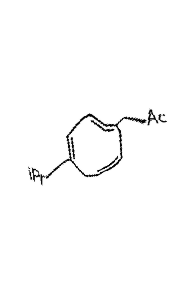 CC(=O)c1ccc(C(C)C)cc1